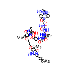 COc1ccc(C2=CN3C(=O)c4cc(OC)c(OCCCCCOc5cc6c(cc5OC)C(=O)N5CC7(CC7)C[C@H]5[C@H](O)N6C(=O)OCc5ccc(NC(=O)[C@H](C)NC(=O)[C@@H](NC(=O)CNC(=O)CNC(=O)CCC(=O)N6Cc7ccccc7/C(NC(C)C)=C(/N=N)c7ccccc76)C(C)C)cc5)cc4NCC3C2)cc1